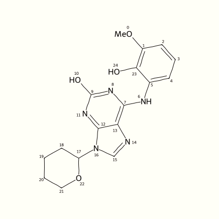 COc1cccc(Nc2nc(O)nc3c2ncn3C2CCCCO2)c1O